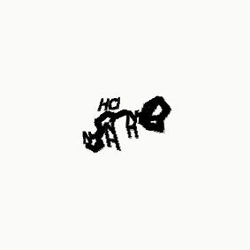 C1=CC(=c2ccc(=CNC34CC5CC(CC(C5)C3)C4)[nH]2)N=C1.Cl